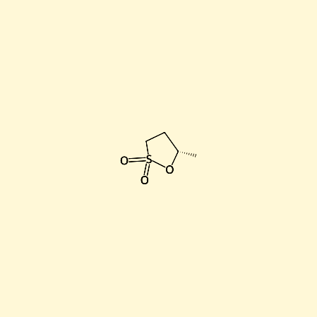 C[C@H]1CCS(=O)(=O)O1